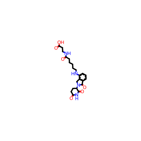 O=C(O)CCNC(=O)CCCCCNc1cccc2c1CN(C1CCC(=O)NC1=O)C2=O